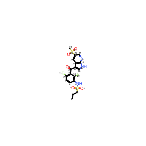 CCCS(=O)(=O)Nc1ccc(F)c(C(=O)c2c[nH]c3ncc(S(C)(=O)=O)cc23)c1F